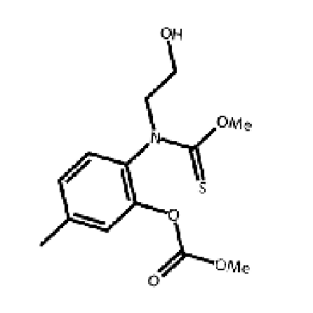 COC(=O)Oc1cc(C)ccc1N(CCO)C(=S)OC